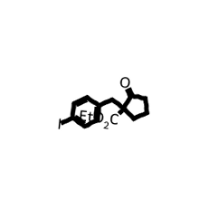 CCOC(=O)C1(Cc2ccc(I)cc2)CCCC1=O